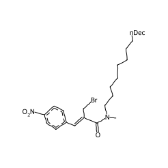 CCCCCCCCCCCCCCCCCCN(C)C(=O)/C(=C/c1ccc([N+](=O)[O-])cc1)CBr